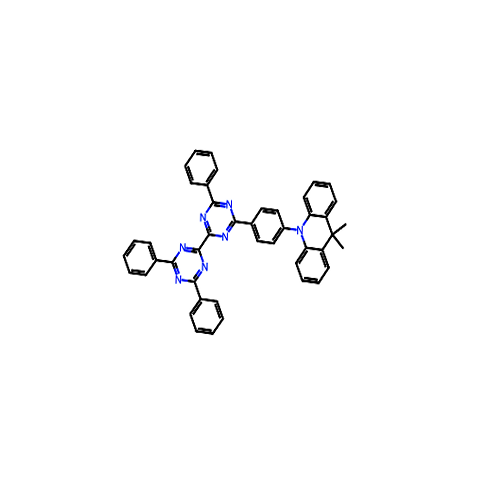 CC1(C)c2ccccc2N(c2ccc(-c3nc(-c4ccccc4)nc(-c4nc(-c5ccccc5)nc(-c5ccccc5)n4)n3)cc2)c2ccccc21